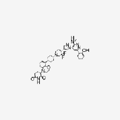 Nc1nnc(-c2ccccc2O)cc1-n1cc([C@H]2CCN([C@H]3CC[C@H](c4cccc5c4OCCN5[C@@H]4CCC(=O)NC4=O)CC3)CC2(F)F)cn1